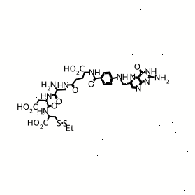 CCSSCC(NC(=O)C(CC(=O)O)NC(=O)C(N)CNC(=O)CCC(NC(=O)c1ccc(NCc2cnc3nc(N)[nH]c(=O)c3n2)cc1)C(=O)O)C(=O)O